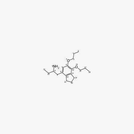 CCCOc1cc(CC(N)CC)c2c(c1OCCC)CCC2